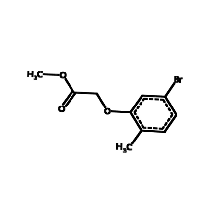 COC(=O)COc1cc(Br)ccc1C